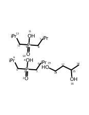 CC(C)CP(=O)(O)CC(C)C.CC(C)CP(=O)(O)CC(C)C.CC(O)CCO